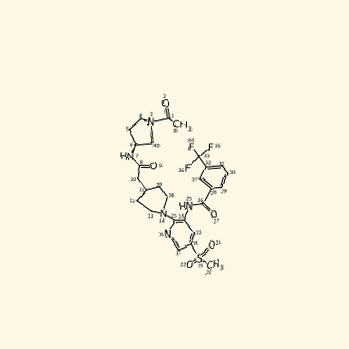 CC(=O)N1CC[C@H](NC(=O)CC2CCN(c3ncc(S(C)(=O)=O)cc3NC(=O)c3cccc(C(F)(F)F)c3)CC2)C1